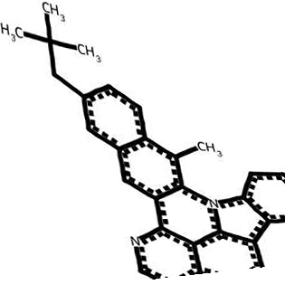 Cc1c2ccc(CC(C)(C)C)cc2cc2c3nccc4cc(F)c5c6ccccc6n(c12)c5c43